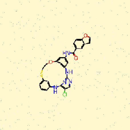 O=C(Nc1cc2cc(c1)OCCSc1cccc(c1)Nc1nc(ncc1Cl)N2)c1ccc2occc2c1